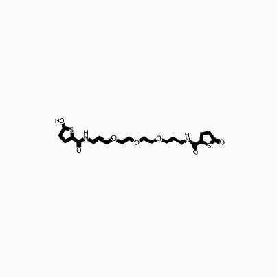 O=C1CCC(C(=O)NCCCOCCOCCOCCCNC(=O)C2CCC(O)S2)S1